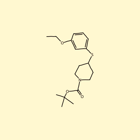 CCOc1cccc(SC2CCN(C(=O)OC(C)(C)C)CC2)c1